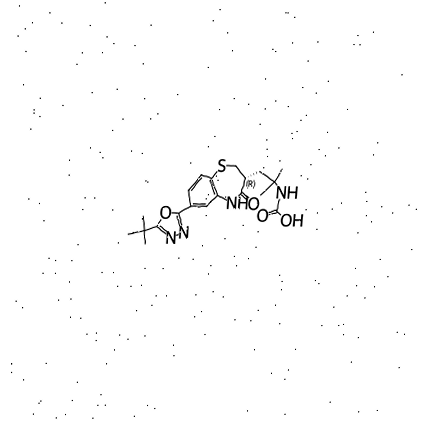 CC(C)(C[C@H]1CSc2ccc(-c3nnc(C(C)(C)C)o3)cc2NC1=O)NC(=O)O